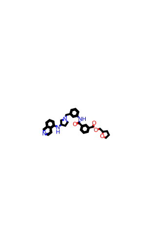 O=C(Nc1cccc(CN2CCC(Nc3cccc4cnccc34)C2)c1)c1cccc(C(=O)OCC2CCCO2)c1